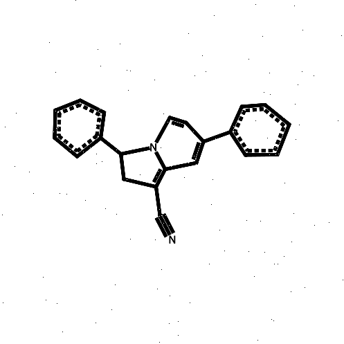 N#CC1=C2C=C(c3ccccc3)C=CN2C(c2ccccc2)C1